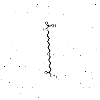 CC(=O)CCCCCOCCCCCCCNC(=O)S